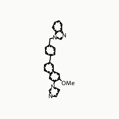 COc1cc2cc(-c3ccc(Cn4cnc5ccccc54)cc3)ccc2cc1-n1ccnc1